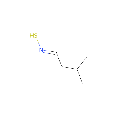 CC(C)CC=NS